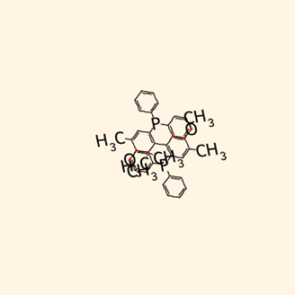 COc1cc(C2=C(P(c3ccccc3)c3ccccc3)C=C(C)C(OC)C2(C)C)c(P(c2ccccc2)c2ccccc2)cc1C